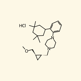 COC[C@@H]1C[C@H]1CN1CCN(c2ccccc2C2CC(C)(C)CC(C)(C)C2)CC1.Cl